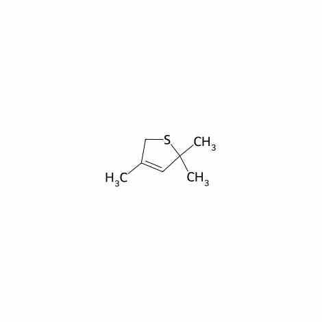 CC1=CC(C)(C)SC1